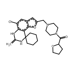 C=C1Nc2c(Cl)cc3cc(CN4CCN(C(=O)C5CCCO5)CC4)oc3c2C2(CCCCC2)N1